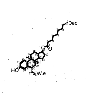 CCCCCCCCCCCCCCCCCC(=O)OC1CCC2C1CC[C@@H]1c3ccc(O)cc3[C@H](COC)C[C@@H]21